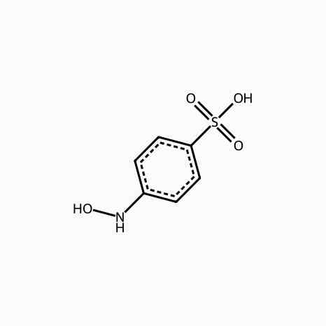 O=S(=O)(O)c1ccc(NO)cc1